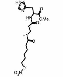 COC(=O)C(Cc1c[nH]cn1)NC(=O)CCNC(=O)CCCCCO[N+](=O)[O-]